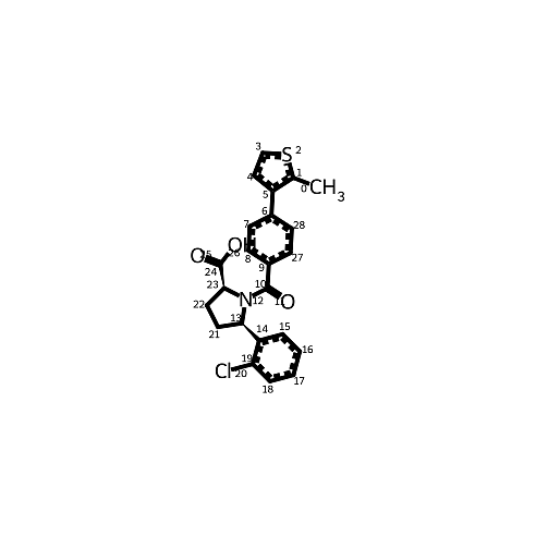 Cc1sccc1-c1ccc(C(=O)N2[C@@H](c3ccccc3Cl)CC[C@H]2C(=O)O)cc1